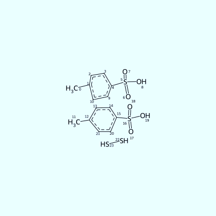 Cc1ccc(S(=O)(=O)O)cc1.Cc1ccc(S(=O)(=O)O)cc1.SS